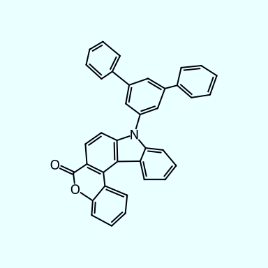 O=c1oc2ccccc2c2c1ccc1c2c2ccccc2n1-c1cc(-c2ccccc2)cc(-c2ccccc2)c1